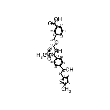 Cc1ccc(CC(O)c2ccc(N(NCOCc3cccc(C(=O)O)c3)S(C)(=O)=O)cc2)s1